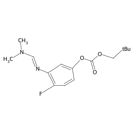 CN(C)/C=N/c1cc(OC(=O)OCC(C)(C)C)ccc1F